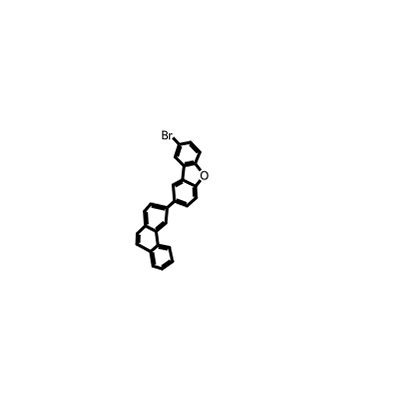 Brc1ccc2oc3ccc(-c4ccc5ccc6ccccc6c5c4)cc3c2c1